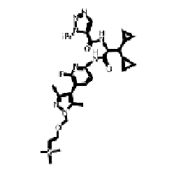 Cc1nn(COCCS(C)(C)C)c(C)c1-c1ccc(NC(=O)C(NC(=O)c2cnnn2C(C)C)C(C2CC2)C2CC2)nc1F